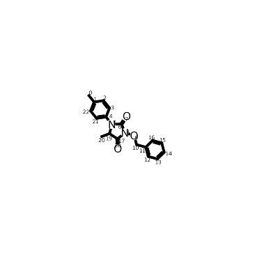 Cc1ccc(N2C(=O)N(OCc3ccccc3)C(=O)C2C)cc1